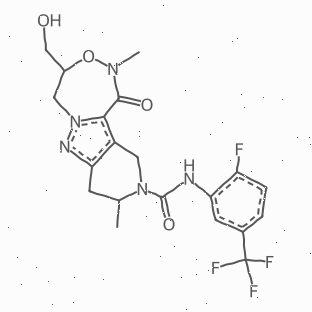 CC1Cc2nn3c(c2CN1C(=O)Nc1cc(C(F)(F)F)ccc1F)C(=O)N(C)OC(CO)C3